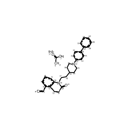 CC(=O)O.O=Cc1cccc2c1CCC(=O)N2CCC1CCN(c2ccc(-c3ccccc3)cc2)CC1.[Pd]